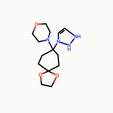 C1=CN(C2(N3CCOCC3)CCC3(CC2)OCCO3)NN1